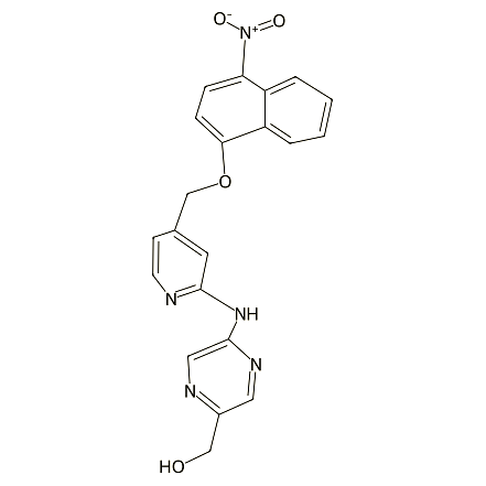 O=[N+]([O-])c1ccc(OCc2ccnc(Nc3cnc(CO)cn3)c2)c2ccccc12